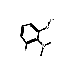 CB(C)c1c(F)cccc1OC(C)C